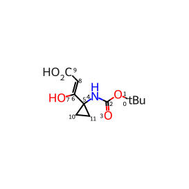 CC(C)(C)OC(=O)NC1(/C(O)=C/C(=O)O)CC1